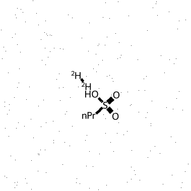 CCCS(=O)(=O)O.[2H][2H]